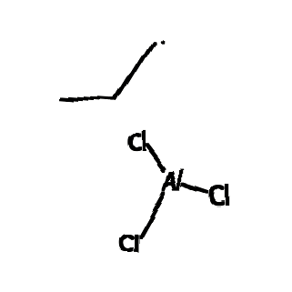 [CH2]CC.[Cl][Al]([Cl])[Cl]